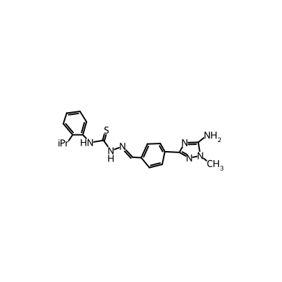 CC(C)c1ccccc1NC(=S)NN=Cc1ccc(-c2nc(N)n(C)n2)cc1